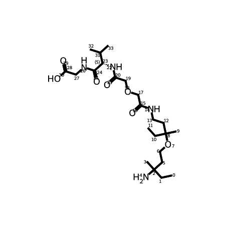 CCC(C)(N)CCOC(C)(CC)CCNC(=O)COCC(=O)N[C@H](C(=O)NCC(=O)O)C(C)C